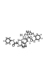 CC(C)(N)C(=O)N[C@H](COCc1ccccc1)c1nnc2n1CCN(C(=O)Cc1ccccc1)C2